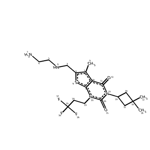 Cc1c(CNCCN)sc2c1c(=O)n(C1CC(C)(C)C1)c(=O)n2CCC(F)(F)F